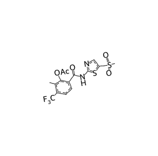 CC(=O)Oc1c(C(=O)Nc2ncc(S(C)(=O)=O)s2)ccc(C(F)(F)F)c1C